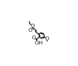 CCOC(=O)C=Cc1ccc(OC)cc1C(=O)O